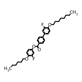 CCCCCCCCOc1ccc(-c2ccc(C(=O)Oc3ccc(OCCCCCC)c(F)c3)cc2)cc1F